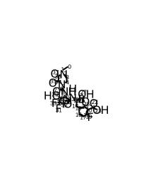 CCN1CCN(C(=O)N[C@@H](C(=O)N[C@H]2Cc3ccc(F)c(C(=O)O)c3OB2O)[C@H](O)C(F)(F)F)C(=O)C1=O